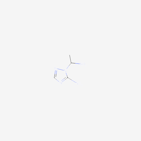 CC(N)n1ncnc1N